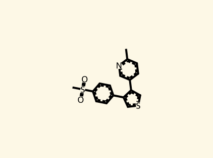 Cc1ccc(-c2cscc2-c2ccc(S(C)(=O)=O)cc2)cn1